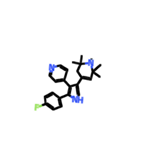 CN1C(C)(C)C=C(c2c[nH]c(-c3ccc(F)cc3)c2-c2ccncc2)CC1(C)C